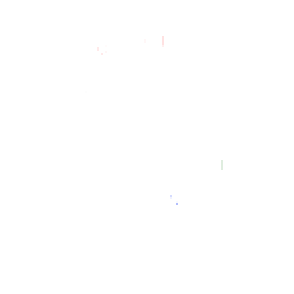 O=C(O)C1=Cc2cc(Cl)c(N3CCSCC3O)cc2OC1C(F)(F)F